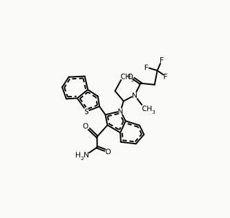 CCC(N(C)C(=O)CC(F)(F)F)n1c(-c2cc3ccccc3s2)c(C(=O)C(N)=O)c2ccccc21